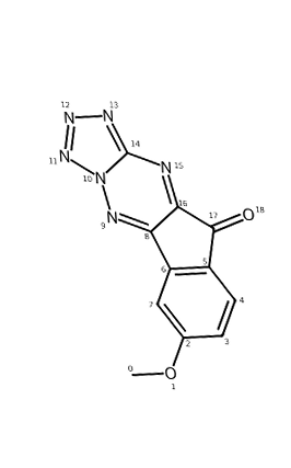 COc1ccc2c(c1)-c1nn3nnnc3nc1C2=O